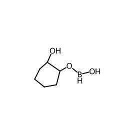 OBOC1CCCCC1O